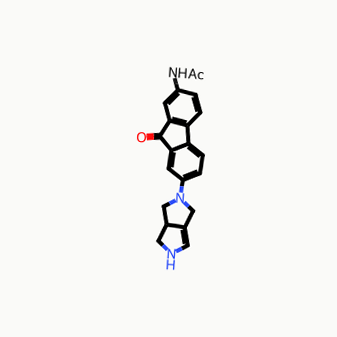 CC(=O)Nc1ccc2c(c1)C(=O)c1cc(N3CC4=CNCC4C3)ccc1-2